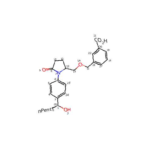 CCCCC[C@H](O)c1ccc(N2C(=O)CCC2COCc2cccc(C(=O)O)c2)cc1